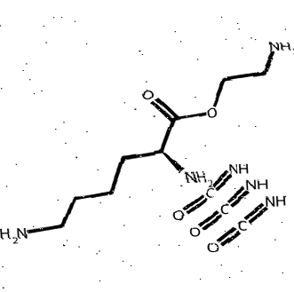 N=C=O.N=C=O.N=C=O.NCCCC[C@H](N)C(=O)OCCN